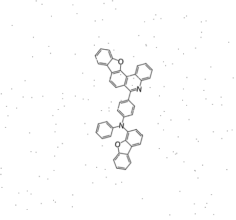 c1ccc(N(c2ccc(-c3nc4ccccc4c4c3ccc3c5ccccc5oc34)cc2)c2cccc3c2oc2ccccc23)cc1